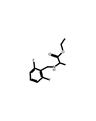 CCOC(=O)C(C)NCc1c(F)cccc1F